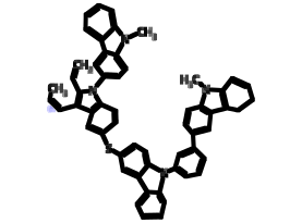 C=Cc1c(/C=C\C)c2cc(Sc3ccc4c(c3)c3ccccc3n4-c3cccc(-c4ccc5c(c4)c4c(n5C)C=CCC4)c3)ccc2n1-c1ccc2c(c1)c1ccccc1n2C